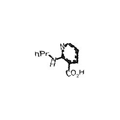 CCCNc1ncccc1C(=O)O